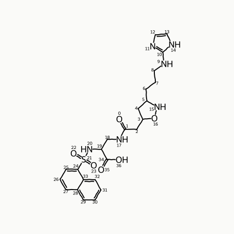 O=C(CC1CC(CCCNc2ncc[nH]2)NO1)NCC(NS(=O)(=O)c1cccc2ccccc12)C(=O)O